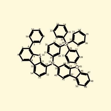 c1ccc(-c2cccc3c2sc2c(N(c4cccc([Si](c5ccccc5)(c5ccccc5)c5ccccc5)c4)c4ccc5c(c4)oc4ccccc45)cccc23)cc1